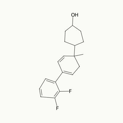 CC1(C2CCC(O)CC2)C=CC(c2cccc(F)c2F)=CC1